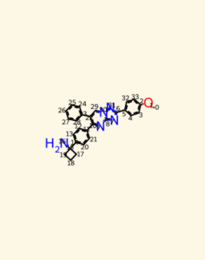 COc1ccc(-c2nc3nc(-c4ccc(C5(N)CCC5)cc4)c(-c4ccccc4)cn3n2)cc1